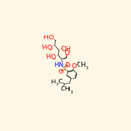 COc1ccc(CC(C)C)cc1S(=O)(=O)N[C@H](C=O)[C@H](O)[C@@H](O)[C@H](O)CO